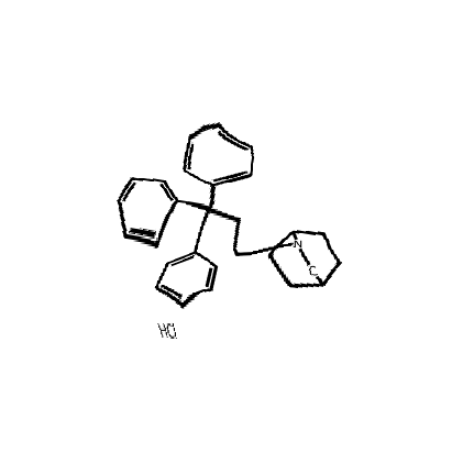 Cl.c1ccc(C(CCN2CC3CCC2CC3)(c2ccccc2)c2ccccc2)cc1